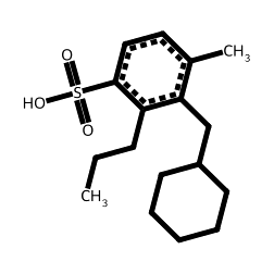 CCCc1c(S(=O)(=O)O)ccc(C)c1CC1CCCCC1